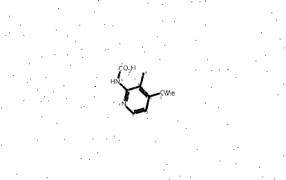 COc1ccnc(NC(=O)O)c1C